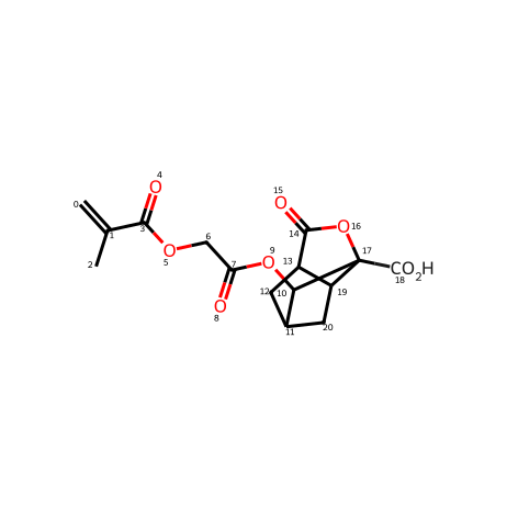 C=C(C)C(=O)OCC(=O)OC1C2CC3C(=O)OC1(C(=O)O)C3C2